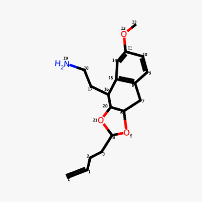 C=CCCC1OC2Cc3ccc(OC)cc3C(CCN)C2O1